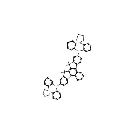 CC1(C)c2cc(N3c4ccccc4[Si]4(CCCC4)c4ccccc43)ccc2-c2c1c1c(c3ccccc23)-c2ccc(N3c4ccccc4[Si]4(CCCC4)c4ccccc43)cc2C1(C)C